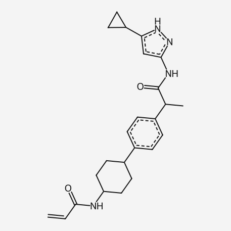 C=CC(=O)NC1CCC(c2ccc(C(C)C(=O)Nc3cc(C4CC4)[nH]n3)cc2)CC1